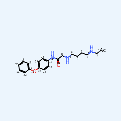 CC(=O)CNCCCCNCC(=O)Nc1ccc(Oc2ccccc2)cc1